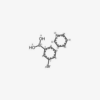 OB(O)c1cccc(Br)c1.c1ccncc1